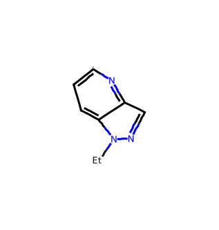 CCn1ncc2n[c]ccc21